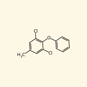 Cc1cc(Cl)c(Oc2ccccc2)c(Cl)c1